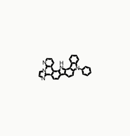 c1ccc(-n2c3ccccc3c3c4[nH]c5c(ccc6c5c5cccnc5n5ccnc65)c4ccc32)cc1